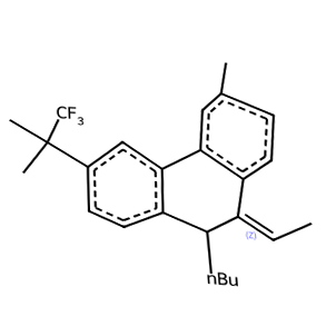 C/C=C1\c2ccc(C)cc2-c2cc(C(C)(C)C(F)(F)F)ccc2C1CCCC